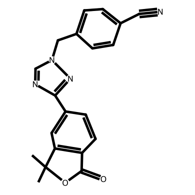 CC1(C)OC(=O)c2ccc(-c3ncn(Cc4ccc(C#N)cc4)n3)cc21